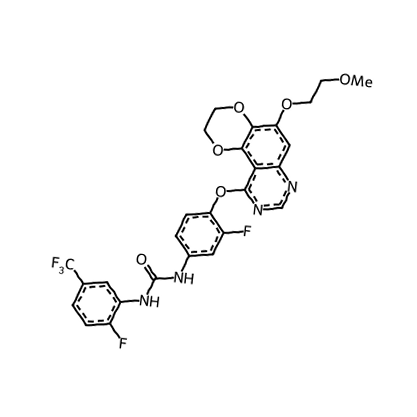 COCCOc1cc2ncnc(Oc3ccc(NC(=O)Nc4cc(C(F)(F)F)ccc4F)cc3F)c2c2c1OCCO2